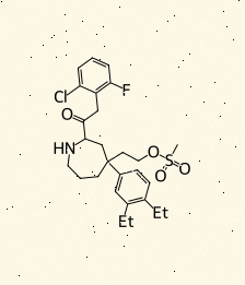 CCc1ccc(C2(CCOS(C)(=O)=O)CCCNC(C(=O)Cc3c(F)cccc3Cl)C2)cc1CC